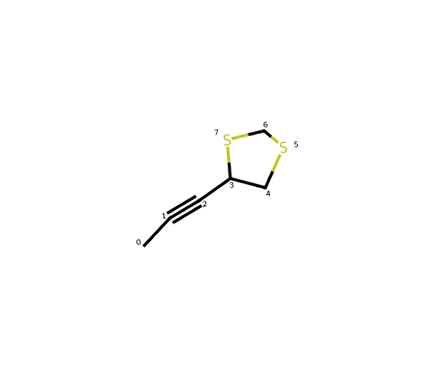 CC#CC1CSCS1